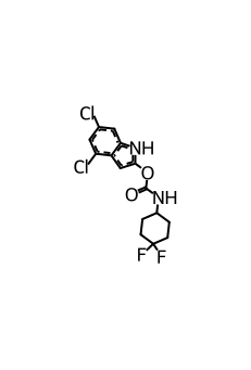 O=C(NC1CCC(F)(F)CC1)Oc1cc2c(Cl)cc(Cl)cc2[nH]1